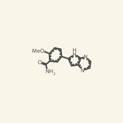 COc1ccc(-c2cc3nccnc3[nH]2)cc1C(N)=O